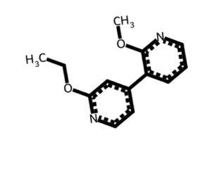 CCOc1cc(-c2cccnc2OC)ccn1